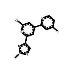 Cn1ncc(-c2cc(-c3cc(F)ccn3)cc(Cl)n2)n1